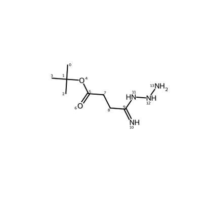 CC(C)(C)OC(=O)CCC(=N)NNN